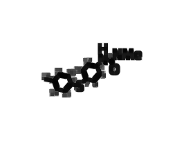 CNC(=O)Nc1ccc(Sc2ccc(C)cc2)cc1